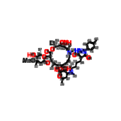 CC[C@H]1OC(=O)[C@H](C)[C@@H](O[C@H]2C[C@@](C)(OC)[C@@H](O)[C@H](C)O2)[C@H](C)[C@@H](O[C@@H]2O[C@H](C)CC(N(C)CCCCC3C(=O)NN(c4ccc(C)cc4)C3=O)[C@H]2O)[C@](C)(O)C[C@@H](C)CN(C)[C@H](C)[C@@H](O)[C@]1(C)O